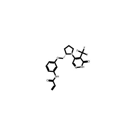 C=CC(=O)Nc1cccc(OC[C@@H]2CCCN2c2cn[nH]c(=O)c2C(F)(F)F)c1